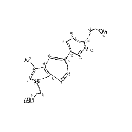 CC(=O)c1nn(CC(C)(C)C)c2ccc(-c3cnc(CO)nc3)cc12